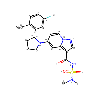 CCN(CC)S(=O)(=O)NC(=O)c1cnn2ccc(N3CCC[C@@H]3c3cc(F)ccc3OC)cc12